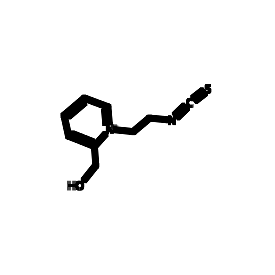 OCc1cccc[n+]1CCN=C=S